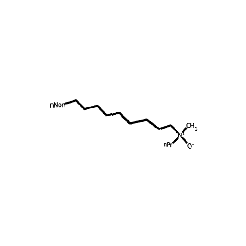 CCCCCCCCCCCCCCCCCC[N+](C)([O-])CCC